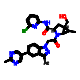 CC(=O)c1nn(CC(=O)N2C3C(C)[C@@]3(CO)C[C@H]2C(=O)Nc2cccc(Br)n2)c2ccc(-c3cnc(C)nc3)cc12